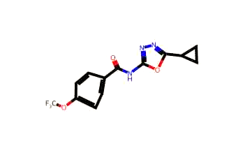 O=C(Nc1nnc(C2CC2)o1)c1ccc(OC(F)(F)F)cc1